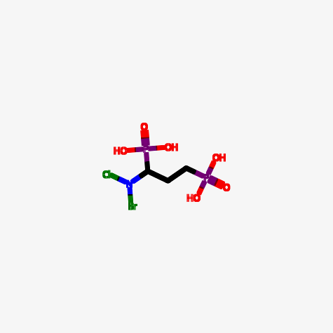 O=P(O)(O)CCC(N(Cl)Br)P(=O)(O)O